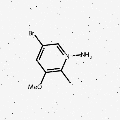 COc1cc(Br)c[n+](N)c1C